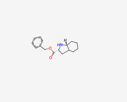 O=C(OCc1ccccc1)[C@H]1CC2CCCC[C@H]2N1